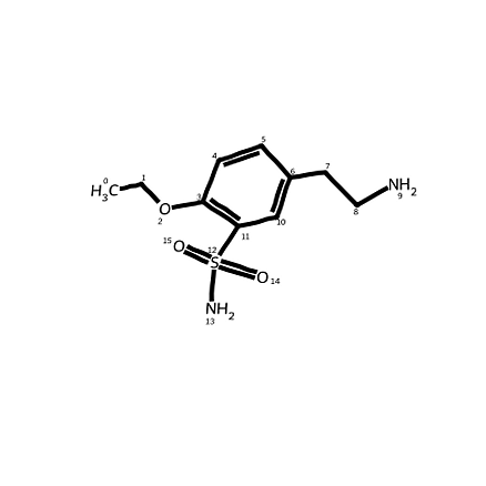 CCOc1ccc(CCN)cc1S(N)(=O)=O